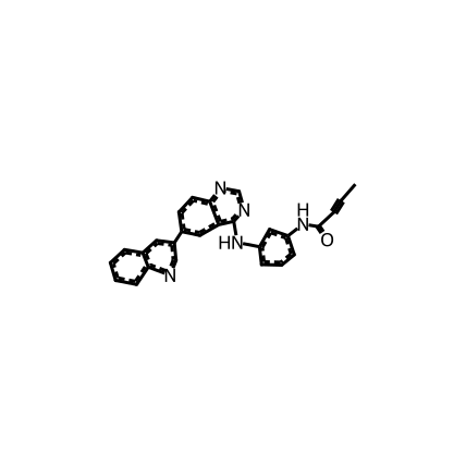 CC#CC(=O)Nc1cccc(Nc2ncnc3ccc(-c4cnc5ccccc5c4)cc23)c1